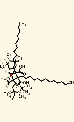 CCCCCCCCCCCCCCC(C(=O)O)(C1CC(C)(C)N(C)C(C)(C)C1)C(CCCCCCCCCCCCC)(C(=O)O)C(C(=O)O)(C(=O)O)C1CC(C)(C)N(C)C(C)(C)C1